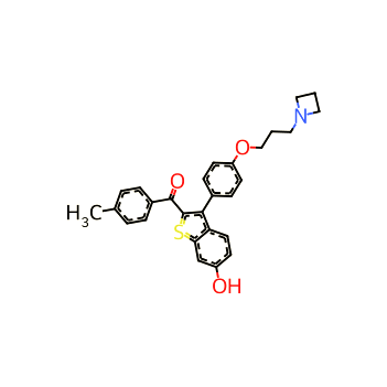 Cc1ccc(C(=O)c2sc3cc(O)ccc3c2-c2ccc(OCCCN3CCC3)cc2)cc1